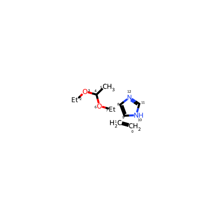 C=C.CCOC(C)OCC.c1c[nH]cn1